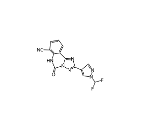 N#Cc1cccc2c1[nH]c(=O)n1nc(-c3cnn(C(F)F)c3)nc21